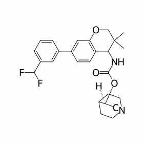 CC1(C)COc2cc(-c3cccc(C(F)F)c3)ccc2C1NC(=O)O[C@H]1CN2CCC1CC2